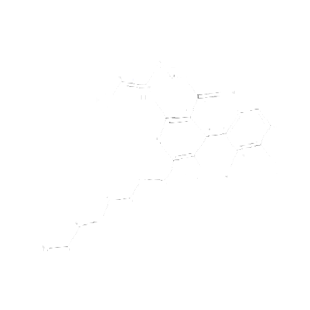 CCOC(=O)C1=C(COCCOCCN)NC(C)=C(C(=O)OC)C1c1cccc(Cl)c1Cl.O=C(O)/C=C/C(=O)O